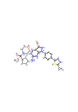 Cc1nnc(-c2ccc(-n3nc(Br)c4cnc(N[C@@H]5CC[C@@](C)(C(=O)N6CCOCC6)C5)nc43)cc2)s1